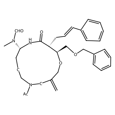 C=C1CO[C@H](COCc2ccccc2)[C@@H](C/C=C/c2ccccc2)C(=O)N[C@@H](N(C)C=O)CCCN(C(C)=O)C1